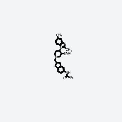 CSC1CN(CC2Cc3ccc(NC(=O)C(C)C)cc3C2)CCC1n1c(C)nc2cc(C)ccc21